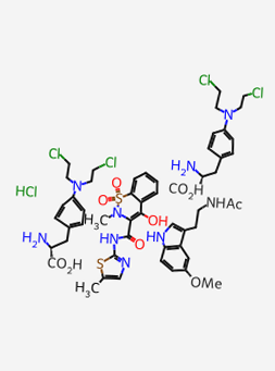 COc1ccc2[nH]cc(CCNC(C)=O)c2c1.Cc1cnc(NC(=O)C2=C(O)c3ccccc3S(=O)(=O)N2C)s1.Cl.N[C@@H](Cc1ccc(N(CCCl)CCCl)cc1)C(=O)O.N[C@@H](Cc1ccc(N(CCCl)CCCl)cc1)C(=O)O